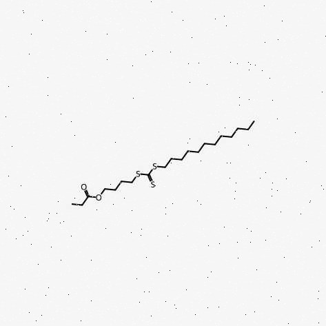 CCCCCCCCCCCCSC(=S)SCCCCOC(=O)CC